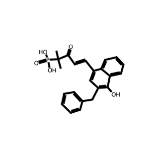 CC(C)(C(=O)/C=C/c1cc(Cc2ccccc2)c(O)c2ccccc12)P(=O)(O)O